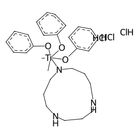 Cl.Cl.Cl.[CH3][Ti]([CH3])([O]c1ccccc1)([O]c1ccccc1)([O]c1ccccc1)[N]1CCCNCCCNCCC1